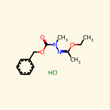 CCOC(C)=NN(C)C(=O)OCc1ccccc1.Cl